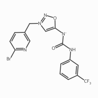 O=C([N-]c1c[n+](Cc2ccc(Br)nc2)no1)Nc1cccc(C(F)(F)F)c1